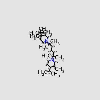 CC(C)C1CCN(C(C)(C)CCCC(C)(C)N2CCC(C)(C(C)(C)C)CC2)CC1C